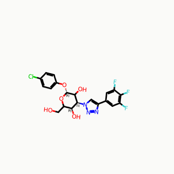 OCC1O[C@H](Oc2ccc(Cl)cc2)C(O)[C@@H](n2cc(-c3cc(F)c(F)c(F)c3)nn2)[C@H]1O